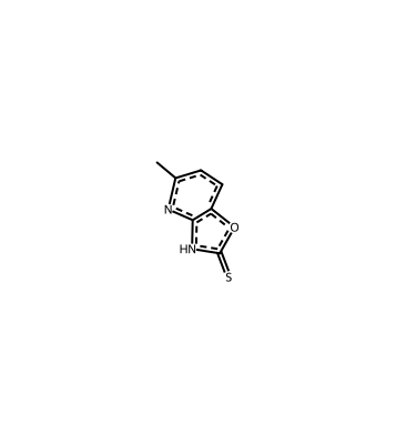 Cc1ccc2oc(=S)[nH]c2n1